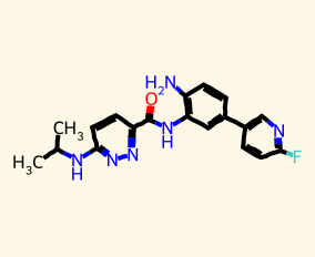 CC(C)Nc1ccc(C(=O)Nc2cc(-c3ccc(F)nc3)ccc2N)nn1